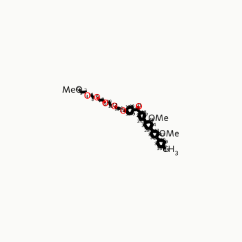 COCCOCCOCCOCCOCCOc1ccc(C(=O)c2ccc(-c3ccc(-c4ccc(-c5ccc(C)cc5)c(OC)c4)cc3OC)cc2)cc1